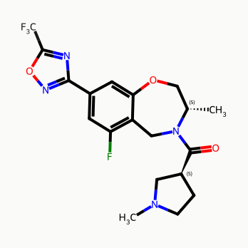 C[C@H]1COc2cc(-c3noc(C(F)(F)F)n3)cc(F)c2CN1C(=O)[C@H]1CCN(C)C1